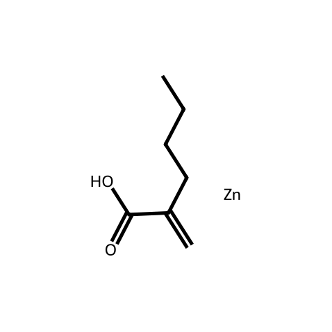 C=C(CCCC)C(=O)O.[Zn]